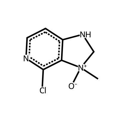 C[N+]1([O-])CNc2ccnc(Cl)c21